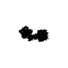 c1ccc(C2(c3ccccc3)c3ccccc3N(c3cccc(-c4ccc(N5c6ccccc6[Si](c6ccccc6)(c6ccccc6)c6ccccc65)cc4)c3)c3ccccc32)cc1